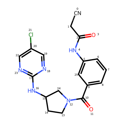 N#CCC(=O)Nc1cccc(C(=O)N2CCC(Nc3ncc(Cl)cn3)C2)c1